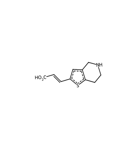 O=C(O)C=Cc1cc2c(s1)CCNC2